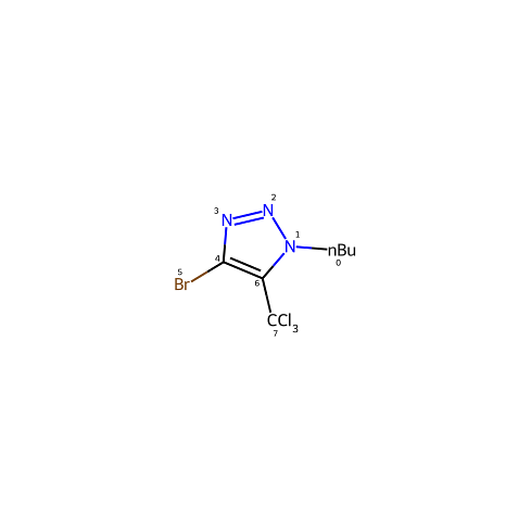 CCCCn1nnc(Br)c1C(Cl)(Cl)Cl